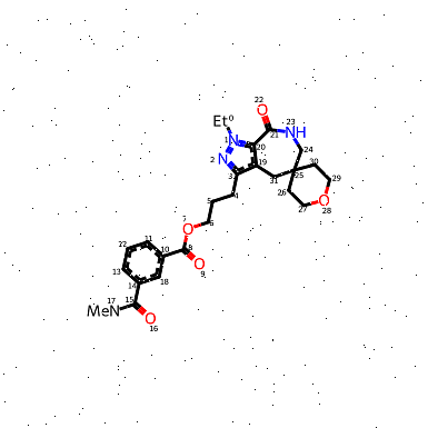 CCn1nc(CCCOC(=O)c2cccc(C(=O)NC)c2)c2c1C(=O)NCC1(CCOCC1)C2